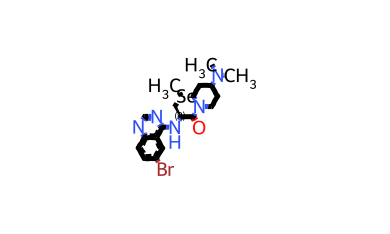 C[Se]C[C@H](Nc1ncnc2ccc(Br)cc12)C(=O)N1CCC(N(C)C)CC1